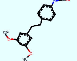 N#COc1cc(CCc2ccc(N=C=O)cc2)cc(OC#N)c1